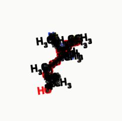 CC/C(=C(\c1ccc(O)cc1)c1ccc(OCCN(C)C(=O)CCOCCOCCC(=O)N[C@H](C(=O)N2C[C@H](OC(=O)OCC(C)(C)SS(C)(=O)=O)C[C@H]2C(=O)NCc2ccc(-c3scnc3C)cc2)C(C)(C)C)cc1)c1ccccc1